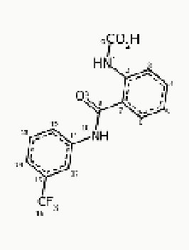 O=C(O)Nc1ccccc1C(=O)Nc1cccc(C(F)(F)F)c1